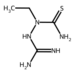 CCN(NC(=N)N)C(N)=S